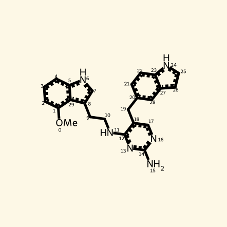 COc1cccc2[nH]cc(CCNc3nc(N)ncc3Cc3ccc4[nH]ccc4c3)c12